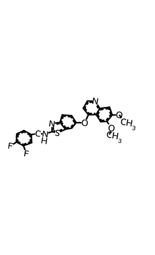 COc1cc2nccc(Oc3ccc4nc(NCc5ccc(F)c(F)c5)sc4c3)c2cc1OC